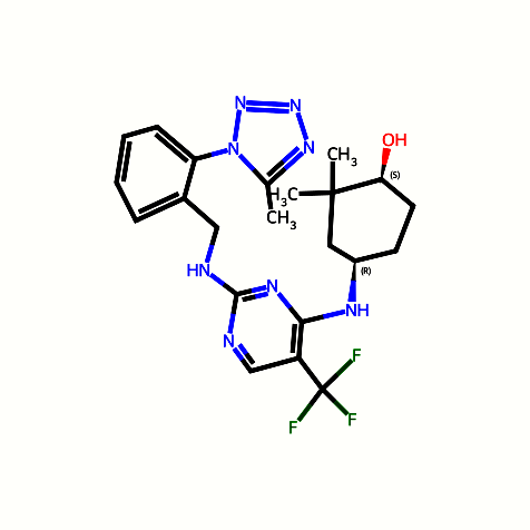 Cc1nnnn1-c1ccccc1CNc1ncc(C(F)(F)F)c(N[C@@H]2CC[C@H](O)C(C)(C)C2)n1